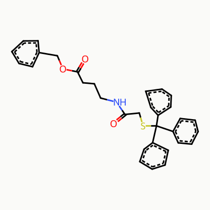 O=C(CSC(c1ccccc1)(c1ccccc1)c1ccccc1)NCCCC(=O)OCc1ccccc1